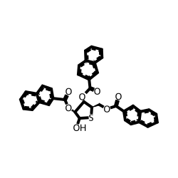 O=C(OC[C@H]1SC(O)[C@@H](OC(=O)c2ccc3ccccc3c2)[C@H]1OC(=O)c1ccc2ccccc2c1)c1ccc2ccccc2c1